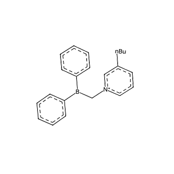 CCCCc1ccc[n+](CB(c2ccccc2)c2ccccc2)c1